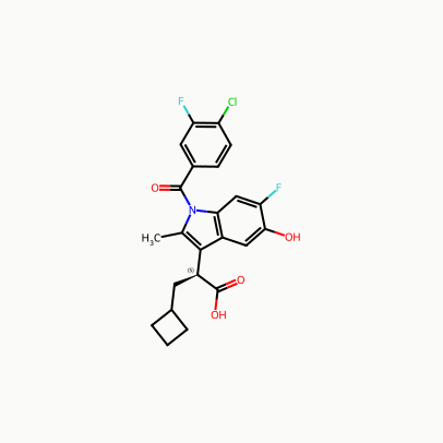 Cc1c([C@H](CC2CCC2)C(=O)O)c2cc(O)c(F)cc2n1C(=O)c1ccc(Cl)c(F)c1